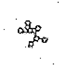 C1=C(c2cc(-c3cccnc3)cc(-n3c4ccccc4c4c5c6ccccc6n6c5c(cc43)Oc3ccccc3-6)c2)CN2CC12